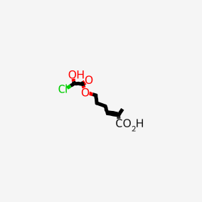 CC(=CCCCOC(=O)C(O)Cl)C(=O)O